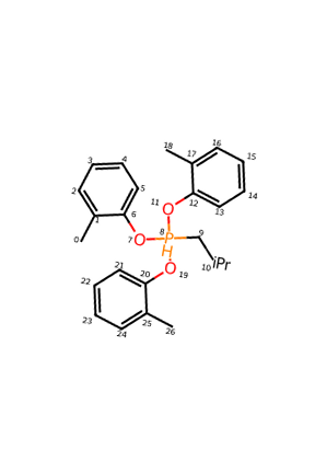 Cc1ccccc1O[PH](CC(C)C)(Oc1ccccc1C)Oc1ccccc1C